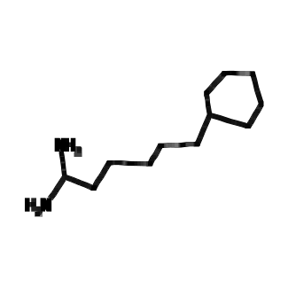 NC(N)CCCCCC1CCCCC1